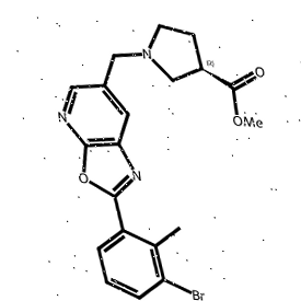 COC(=O)[C@@H]1CCN(Cc2cnc3oc(-c4cccc(Br)c4C)nc3c2)C1